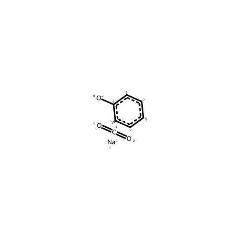 O=C=O.[Na+].[O-]c1ccccc1